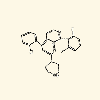 Fc1cccc(F)c1-c1nccc2c(-c3ccccc3Cl)cc(C3CCNCC3)nc12